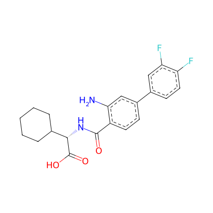 Nc1cc(-c2ccc(F)c(F)c2)ccc1C(=O)N[C@H](C(=O)O)C1CCCCC1